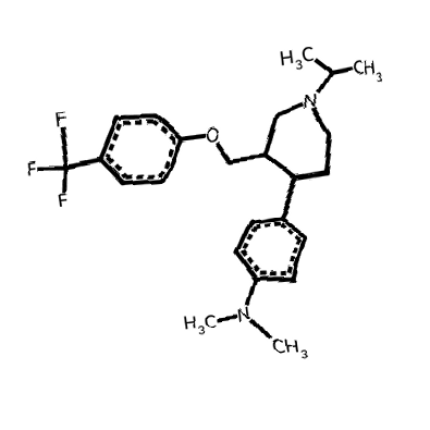 CC(C)N1CCC(c2ccc(N(C)C)cc2)C(COc2ccc(C(F)(F)F)cc2)C1